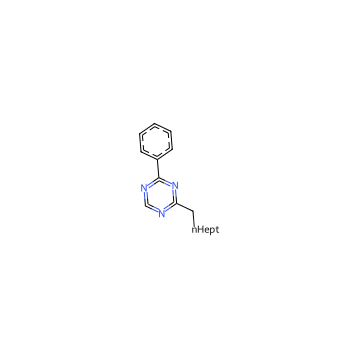 CCCCCCCCc1ncnc(-c2ccccc2)n1